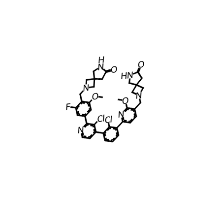 COc1cc(-c2nccc(-c3cccc(-c4ccc(CN5CC6(CNC(=O)C6)C5)c(OC)n4)c3Cl)c2Cl)cc(F)c1CN1CC2(CNC(=O)C2)C1